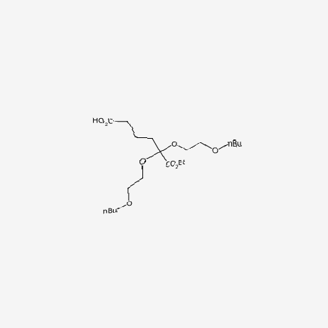 CCCCOCCOC(CCCC(=O)O)(OCCOCCCC)C(=O)OCC